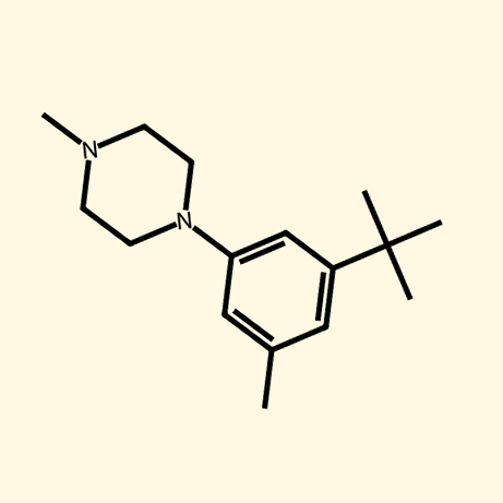 Cc1cc(N2CCN(C)CC2)cc(C(C)(C)C)c1